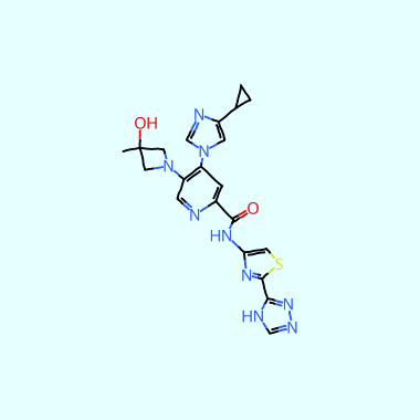 CC1(O)CN(c2cnc(C(=O)Nc3csc(-c4nnc[nH]4)n3)cc2-n2cnc(C3CC3)c2)C1